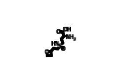 N=S(=O)(CCC1CCO1)CC[C@H](N)C(=O)O